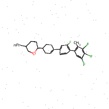 CCCC1CCC(C2CC=C(c3ccc(-c4cc(F)c(F)c(F)c4C)c(F)c3)CC2)OC1